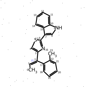 C/C=C(/c1csc(-c2c[nH]c3ccccc23)n1)c1ccccc1C